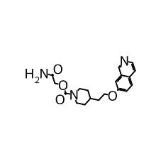 NC(=O)COC(=O)N1CCC(CCOc2ccc3ccncc3c2)CC1